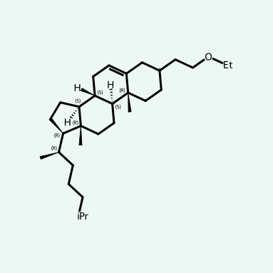 CCOCC[C]1CC[C@@]2(C)C(=CC[C@H]3[C@@H]4CC[C@H]([C@H](C)CCCC(C)C)[C@@]4(C)CC[C@@H]32)C1